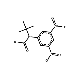 CC(C)(C)N(C(=O)O)c1cc([N+](=O)[O-])cc([N+](=O)[O-])c1